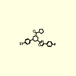 CCc1ccc(C2CC(c3nc(-c4ccc(F)cc4)co3)CN(C(=O)C3CCCC3)C2)cc1